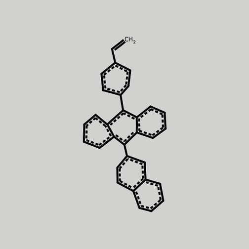 C=Cc1ccc(-c2c3ccccc3c(-c3ccc4ccccc4c3)c3ccccc23)cc1